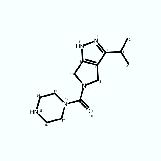 CC(C)c1n[nH]c2c1CN(C(=O)N1CCNCC1)C2